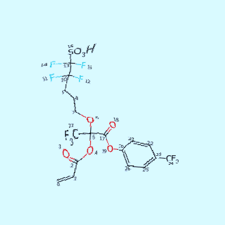 C=CC(=O)OC(OCCCC(F)(F)C(F)(F)S(=O)(=O)O)(C(=O)Oc1ccc(C(F)(F)F)cc1)C(F)(F)F